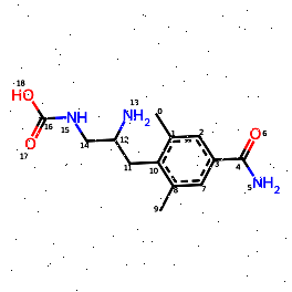 Cc1cc(C(N)=O)cc(C)c1CC(N)CNC(=O)O